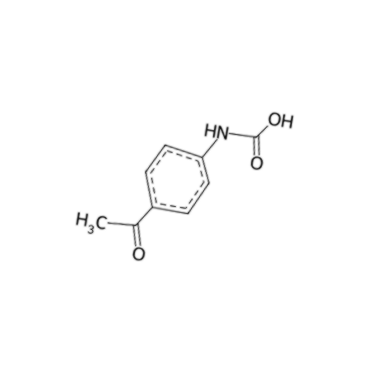 CC(=O)c1ccc(NC(=O)O)cc1